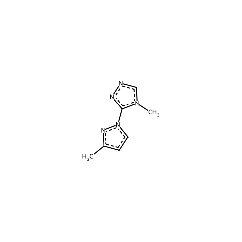 Cc1[c]cn(-c2nncn2C)n1